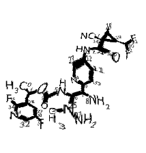 C[C@@H](OC(=O)N/C(=C(/N)c1ccc(NC(=O)[C@]2(C#N)C[C@H]2C(F)F)cn1)N(C)N)c1cc(F)cnc1F